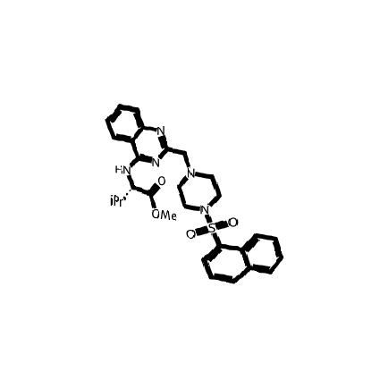 COC(=O)[C@@H](Nc1nc(CN2CCN(S(=O)(=O)c3cccc4ccccc34)CC2)nc2ccccc12)C(C)C